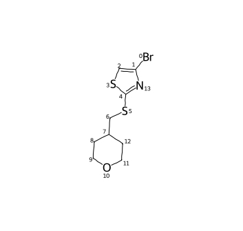 Brc1csc(SCC2CCOCC2)n1